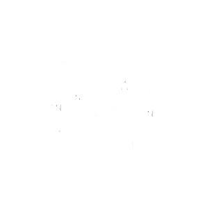 Oc1ncoc1-c1ccnn1C(F)F